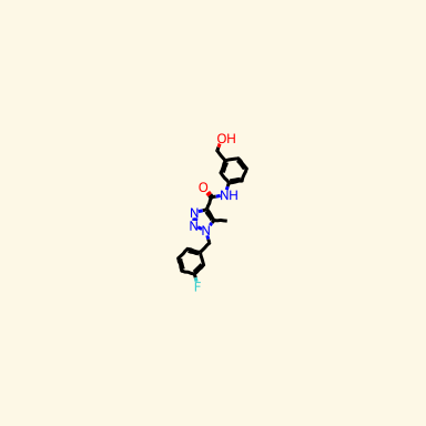 Cc1c(C(=O)Nc2cccc(CO)c2)nnn1Cc1cccc(F)c1